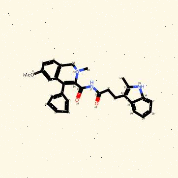 COc1ccc2c(c1)C(c1ccccc1)=C(C(=O)NC(=O)CCc1c(C)[nH]c3ccccc13)N(C)C2